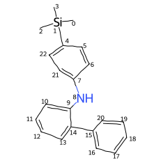 C[Si](C)(C)c1ccc(Nc2ccccc2-c2ccccc2)cc1